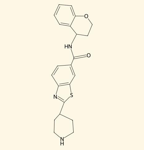 O=C(NC1CCOc2ccccc21)c1ccc2nc(C3CCNCC3)sc2c1